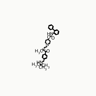 CN(CCN1CCC(OC(=O)Nc2ccccc2-c2ccccc2)CC1)C(=O)c1ccc(CNC(C)(C)C)cc1